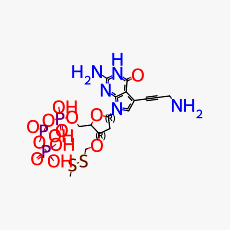 CSSCO[C@@H]1C[C@H](n2cc(C#CCN)c3c(=O)[nH]c(N)nc32)OC1COP(=O)(O)OP(=O)(O)OP(=O)(O)O